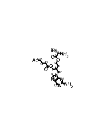 CC[C@H](C)[C@H](N)C(=O)OCCC(COC(=O)CCCC(C)=O)Cn1cnc2cnc(N)nc21